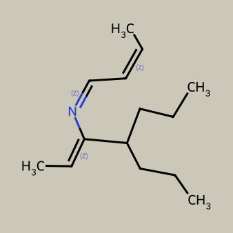 C\C=C/C=N\C(=C/C)C(CCC)CCC